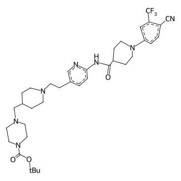 CC(C)(C)OC(=O)N1CCN(CC2CCN(CCc3ccc(NC(=O)C4CCN(c5ccc(C#N)c(C(F)(F)F)c5)CC4)nc3)CC2)CC1